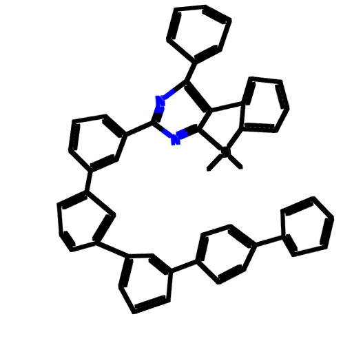 C[Si]1(C)c2ccccc2-c2c(-c3ccccc3)nc(-c3cccc(-c4cccc(-c5cccc(-c6ccc(-c7ccccc7)cc6)c5)c4)c3)nc21